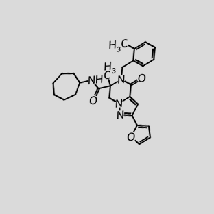 Cc1ccccc1CN1C(=O)c2cc(-c3ccco3)nn2CC1(C)C(=O)NC1CCCCCC1